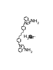 Nc1cc[n+](Cc2ccc(CCCCc3ccc(C[n+]4ccc(N)c5ccccc54)cc3)cc2)c2ccccc12.O.[Br-].[Br-]